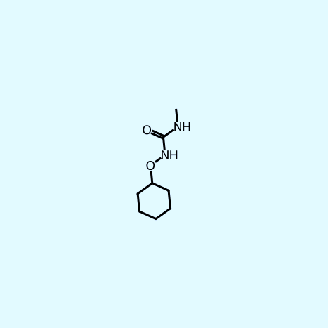 CNC(=O)NOC1CCCCC1